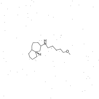 COCCCCCNC1CCCC2CCCC[C@H]2C1